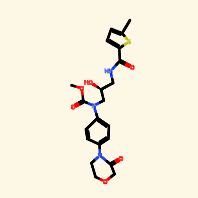 COC(=O)N(C[C@@H](O)CNC(=O)c1ccc(C)s1)c1ccc(N2CCOCC2=O)cc1